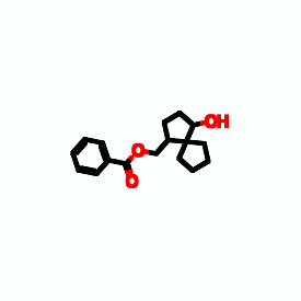 O=C(OCC1CCC(O)C12CCCC2)c1ccccc1